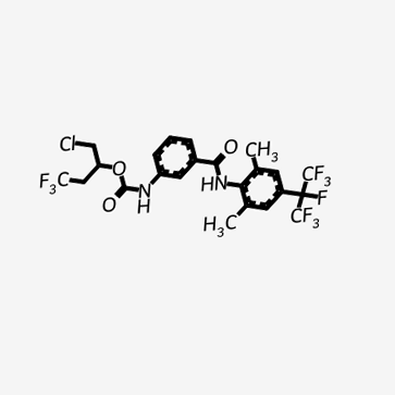 Cc1cc(C(F)(C(F)(F)F)C(F)(F)F)cc(C)c1NC(=O)c1cccc(NC(=O)OC(CCl)CC(F)(F)F)c1